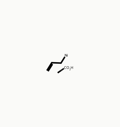 C=C[CH2][Ni].CC(=O)O